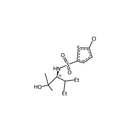 CCC(CC)[C@H](NS(=O)(=O)c1ccc(Cl)s1)C(C)(C)O